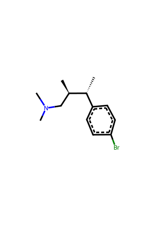 C[C@H](CN(C)C)[C@H](C)c1ccc(Br)cc1